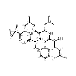 CC(C)C[C@H](NC(=O)[C@@H](O)COC(F)F)C(=O)N[C@@H](Cc1ccccc1)C(=O)N[C@@H](CC(C)C)C(=O)[C@@]1(C)CO1